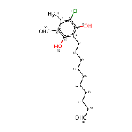 Cc1c(Cl)c(O)c(CCCCCCCCCC=O)c(O)c1C=O